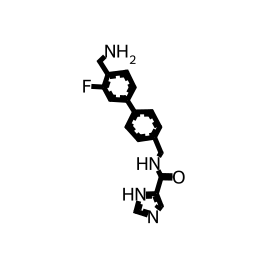 NCc1ccc(-c2ccc(CNC(=O)c3cnc[nH]3)cc2)cc1F